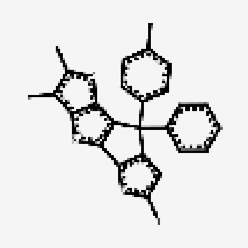 Cc1ccc(C2(c3ccccc3)c3cc(I)sc3-c3sc4c(C)c(C)sc4c32)cc1